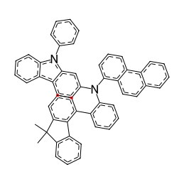 CC1(C)c2ccccc2-c2c(-c3ccccc3N(c3ccc4c5ccccc5n(-c5ccccc5)c4c3)c3cccc4c3ccc3ccccc34)cccc21